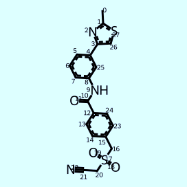 Cc1nc(-c2cccc(NC(=O)c3ccc(CS(=O)(=O)CC#N)cc3)c2)cs1